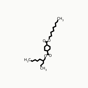 CCCCCCCCCOC(=O)C1CCC(C(=O)OCC(CCC)CCCCC)CC1